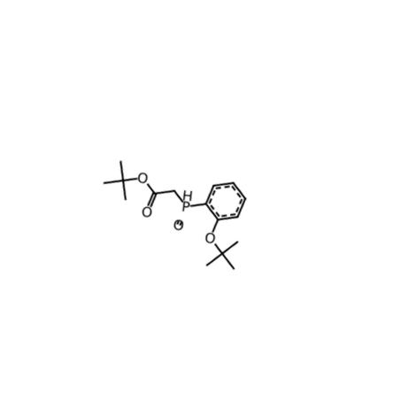 CC(C)(C)OC(=O)C[PH](=O)c1ccccc1OC(C)(C)C